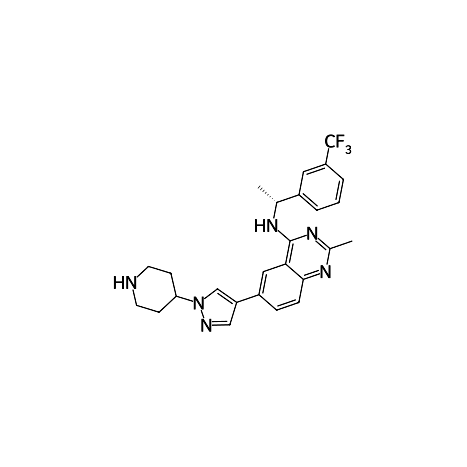 Cc1nc(N[C@H](C)c2cccc(C(F)(F)F)c2)c2cc(-c3cnn(C4CCNCC4)c3)ccc2n1